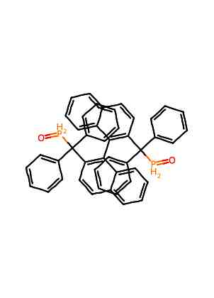 O=[PH2]C(c1ccccc1)(c1ccccc1)c1ccc2ccccc2c1-c1c(C([PH2]=O)(c2ccccc2)c2ccccc2)ccc2ccccc12